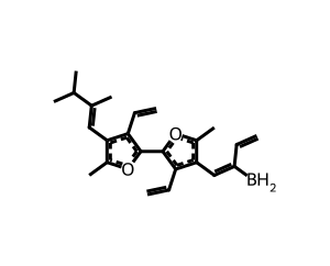 B/C(C=C)=C/c1c(C)oc(-c2oc(C)c(/C=C(\C)C(C)C)c2C=C)c1C=C